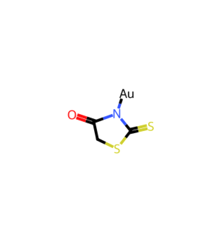 O=C1CSC(=S)[N]1[Au]